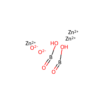 O=BO.O=BO.[O-2].[O-2].[Zn+2].[Zn+2].[Zn+2]